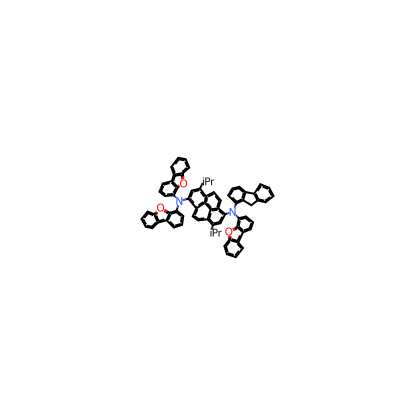 CC(C)c1cc(N(c2cccc3c2Cc2ccccc2-3)c2cccc3c2oc2ccccc23)c2ccc3c(C(C)C)cc(N(c4cccc5c4oc4ccccc45)c4cccc5c4oc4ccccc45)c4ccc1c2c34